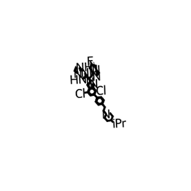 CC(C)C1CCN(CCc2ccc(-c3cc(Cl)c4cn(C(C(=N)Nc5ncc[nH]5)c5ncn6c5C[C@@H](F)C6)nc4c3Cl)cc2)CC1